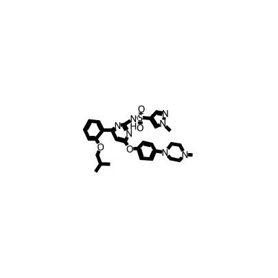 CC(C)COc1ccccc1-c1cc(Oc2ccc(N3CCN(C)CC3)cc2)nc(NS(=O)(=O)c2cnn(C)c2)n1